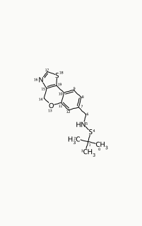 CC(C)(C)SNCc1ccc2c(c1)OCc1ncsc1-2